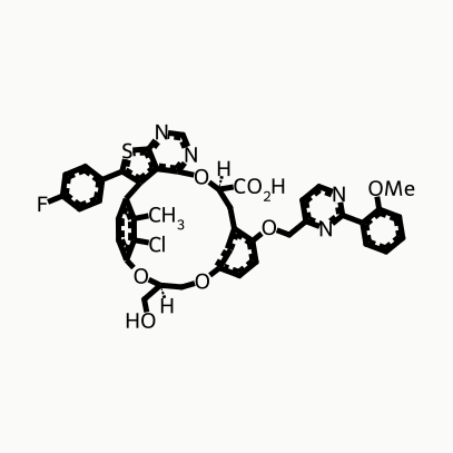 COc1ccccc1-c1nccc(COc2ccc3cc2C[C@H](C(=O)O)Oc2ncnc4sc(-c5ccc(F)cc5)c(c24)-c2ccc(c(Cl)c2C)O[C@H](CO)CO3)n1